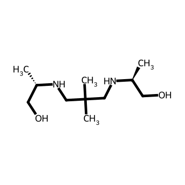 C[C@@H](CO)NCC(C)(C)CN[C@@H](C)CO